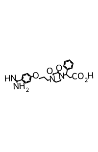 N=C(N)c1ccc(OCCCN2CCN(C(CC(=O)O)c3ccccc3)C(=O)C2=O)cc1